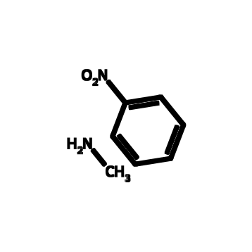 CN.O=[N+]([O-])c1ccccc1